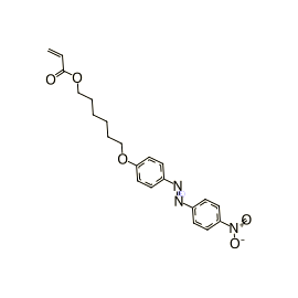 C=CC(=O)OCCCCCCOc1ccc(/N=N/c2ccc([N+](=O)[O-])cc2)cc1